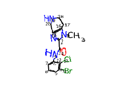 Cn1c(C(=O)Nc2cccc(Br)c2Cl)nc2c1CCNC2